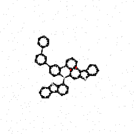 c1ccc(-c2cccc(-c3ccc(N(c4ccc5c(c4)oc4ccccc45)c4cccc5c4oc4ccccc45)c(-c4ccccc4)c3)c2)cc1